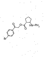 O=C(COC(=O)C1CCCC1NP)c1ccc(Br)cc1